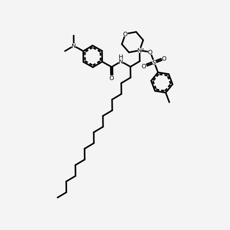 CCCCCCCCCCCCCCCCC(C[N+]1(OS(=O)(=O)c2ccc(C)cc2)CCOCC1)NC(=O)c1ccc(N(C)C)cc1